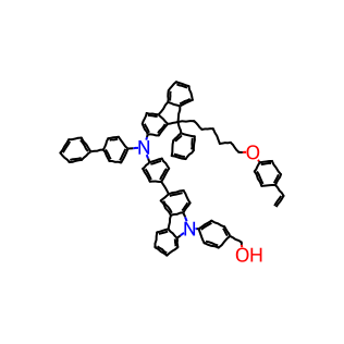 C=Cc1ccc(OCCCCCCC2(c3ccccc3)c3ccccc3-c3ccc(N(c4ccc(-c5ccccc5)cc4)c4ccc(-c5ccc6c(c5)c5ccccc5n6-c5ccc(CO)cc5)cc4)cc32)cc1